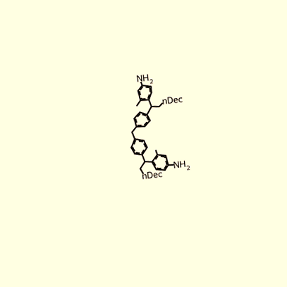 CCCCCCCCCCCC(c1ccc(Cc2ccc(C(CCCCCCCCCCC)c3ccc(N)cc3C)cc2)cc1)c1ccc(N)cc1C